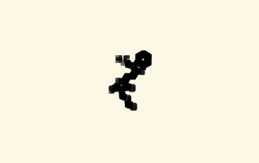 CCN1C(=C/C=C2/SC(=S)N(COC=O)C2=O)Sc2ccccc21